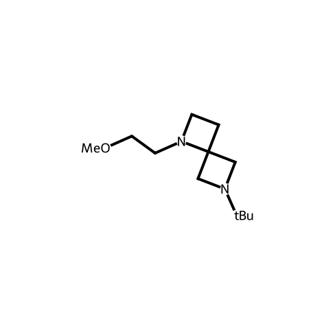 COCCN1CCC12CN(C(C)(C)C)C2